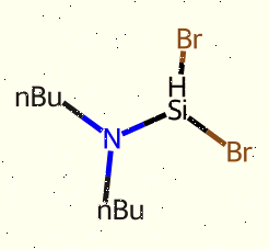 CCCCN(CCCC)[SiH](Br)Br